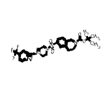 CC(C)(C)OC(=O)N1CCc2cc(S(=O)(=O)N3CCN(c4cc(C(F)(F)F)ccn4)CC3)ccc2C1